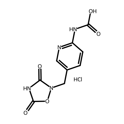 Cl.O=C(O)Nc1ccc(Cn2oc(=O)[nH]c2=O)cn1